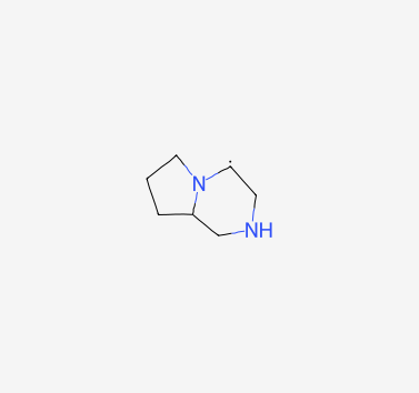 [CH]1CNCC2CCCN12